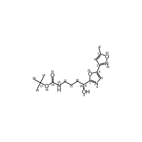 Cc1cc(-c2cnc([C@@H](O)CCCNC(=O)OC(C)(C)C)o2)no1